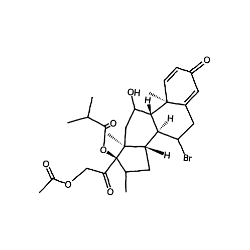 CC(=O)OCC(=O)[C@@]1(OC(=O)C(C)C)C(C)C[C@H]2[C@@H]3C(Br)CC4=CC(=O)C=C[C@]4(C)[C@H]3C(O)C[C@@]21C